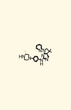 C[C@@H]1CN(c2ccc(Nc3ncc4c(n3)N(c3ccccn3)CC4(C)C)cc2)CCN1